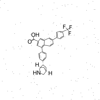 O=C(O)c1cc(-c2ccc([C@@H]3C[C@H]4CN[C@@H]3C4)cc2)c2ccc(-c3ccc(C(F)(F)F)cc3)cc2c1